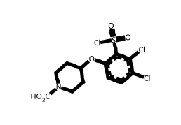 O=C(O)N1CCC(Oc2ccc(Cl)c(Cl)c2S(=O)(=O)Cl)CC1